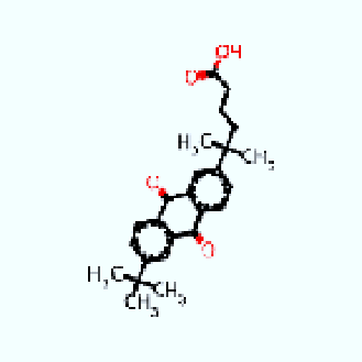 CC(C)(C)c1ccc2c(c1)C(=O)c1ccc(C(C)(C)CCCC(=O)O)cc1C2=O